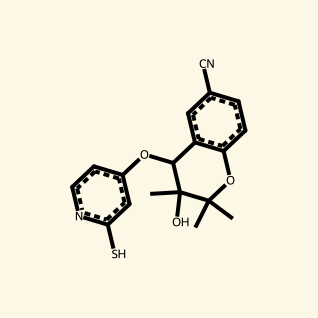 CC1(C)Oc2ccc(C#N)cc2C(Oc2ccnc(S)c2)C1(C)O